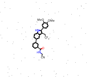 COc1ccc(-c2[nH]c3ccc(-c4cccc(C(=O)NCC#N)c4)cc3c2CC(F)(F)F)cc1OC